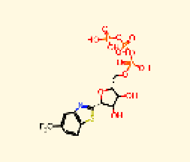 O=P(O)(O)OP(=O)(O)OP(=O)(O)OC[C@H]1O[C@@H](c2nc3cc(C(F)(F)F)ccc3s2)[C@H](O)[C@@H]1O